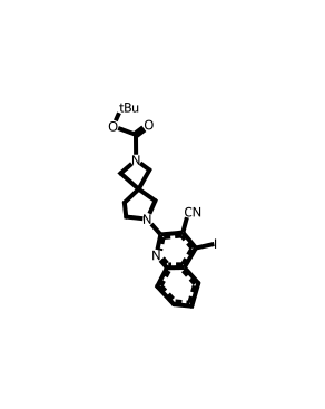 CC(C)(C)OC(=O)N1CC2(CCN(c3nc4ccccc4c(I)c3C#N)C2)C1